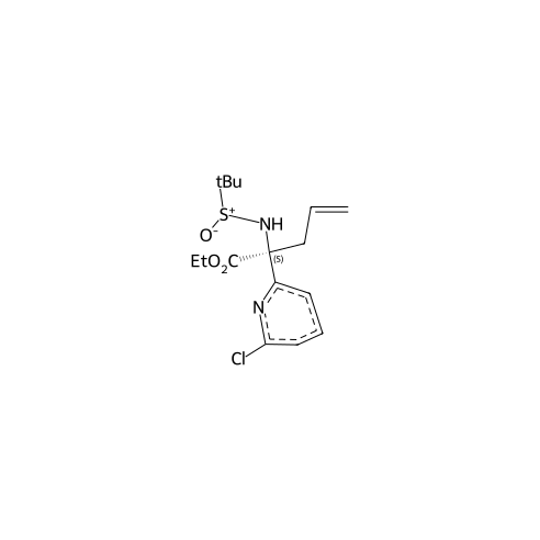 C=CC[C@@](N[S+]([O-])C(C)(C)C)(C(=O)OCC)c1cccc(Cl)n1